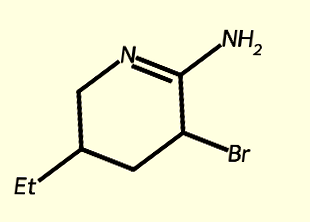 CCC1CN=C(N)C(Br)C1